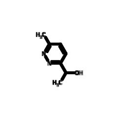 Cc1ccc(C(C)O)nn1